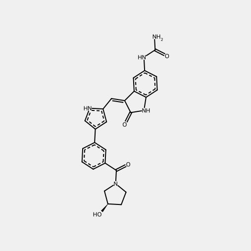 NC(=O)Nc1ccc2c(c1)/C(=C/c1cc(-c3cccc(C(=O)N4CC[C@@H](O)C4)c3)c[nH]1)C(=O)N2